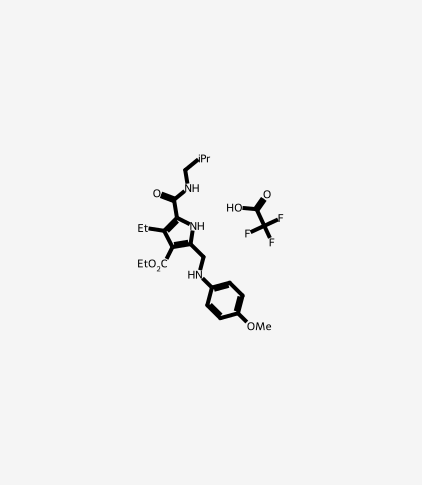 CCOC(=O)c1c(CNc2ccc(OC)cc2)[nH]c(C(=O)NCC(C)C)c1CC.O=C(O)C(F)(F)F